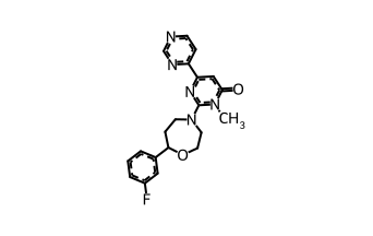 Cn1c(N2CCOC(c3cccc(F)c3)CC2)nc(-c2ccncn2)cc1=O